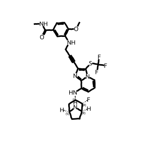 CNC(=O)c1ccc(OC)c(NCC#Cc2nc3c(N[C@H]4C[C@@H]5CC[C@@H](N5)[C@H]4F)cccn3c2SC(F)(F)F)c1